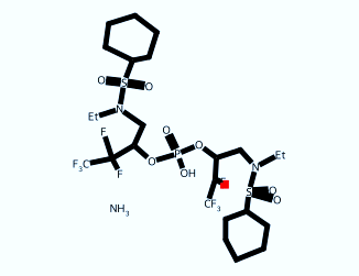 CCN(CC(OP(=O)(O)OC(CN(CC)S(=O)(=O)C1CCCCC1)C(F)(F)C(F)(F)F)C(F)(F)C(F)(F)F)S(=O)(=O)C1CCCCC1.N